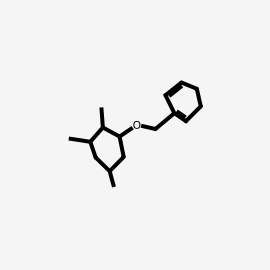 CC1CC(C)C(C)C(OCC2=CCCC=C2)C1